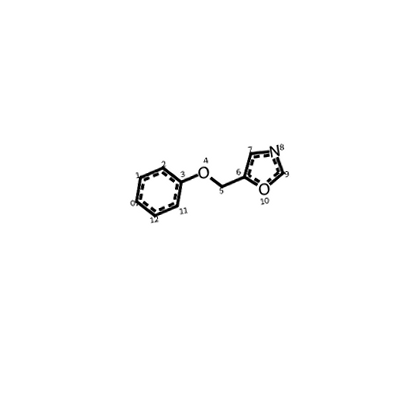 [c]1ccc(OCc2cnco2)cc1